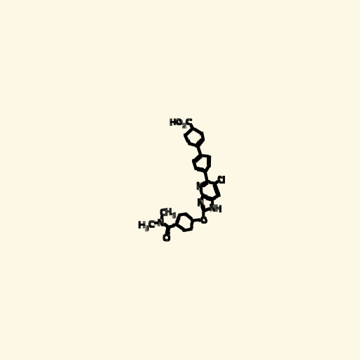 CN(C)C(=O)C1CCC(Oc2nc3nc(-c4ccc(C5=CCC(C(=O)O)CC5)cc4)c(Cl)cc3[nH]2)CC1